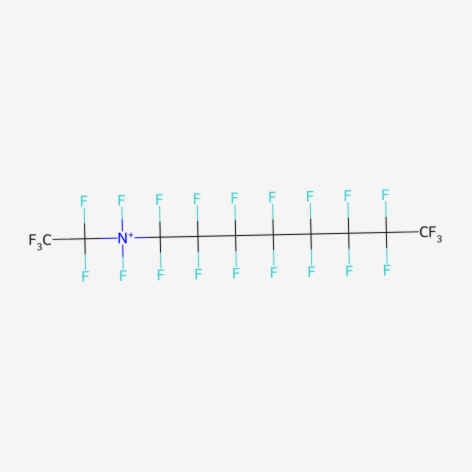 FC(F)(F)C(F)(F)C(F)(F)C(F)(F)C(F)(F)C(F)(F)C(F)(F)C(F)(F)[N+](F)(F)C(F)(F)C(F)(F)F